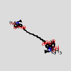 Cc1ccc(OC(=O)CCCCCCCCCCCCCCC(=O)Oc2ccc3c4c2O[C@H]2C(=O)CC[C@@]5(O)C(C)N(CC6CC6)C3C[C@]425)c2c1[C@]13CCN(CC4CC4)C(C)[C@]1(O)CCC(=O)[C@@H]3O2